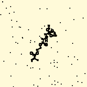 C=C(C)C(=O)OCCOC(=O)CNC[Si](OC)(OC)OC